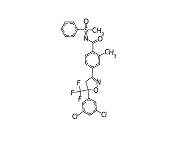 Cc1cc(C2=NOC(c3cc(Cl)cc(Cl)c3)(C(F)(F)F)C2)ccc1C(=O)N=S(C)(=O)c1ccccc1